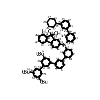 CC(C)(C)c1cc(-c2cccc(-c3cccc(N(c4cccc(-c5cccc(C6CCCCC6)c5)c4)c4ccc5c(c4)C(C)(C)c4ccccc4-5)c3)c2)cc(-c2cc(C(C)(C)C)cc(C(C)(C)C)c2)c1